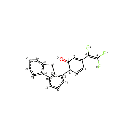 O=C1C=C(C(F)=C(F)F)C=CC1c1cccc2c1Cc1ccccc1-2